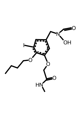 CCCCOc1c(I)cc(CN(O)C=O)cc1OCC(=O)NC